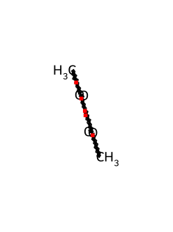 CCCCCCCCCCCCOC(=O)CCCCCCCC=CCCCCCCCC(=O)OCCCCCCCCCCCC